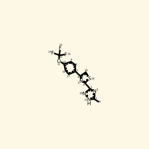 Cc1nc(-c2nc(-c3ccc(OC(F)(F)F)cc3)cs2)n[nH]1